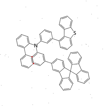 c1ccc(-c2ccccc2N(c2cccc(-c3ccc4c(c3)-c3ccccc3C43c4ccccc4-c4ccccc43)c2)c2cccc(-c3cccc4sc5ccccc5c34)c2)cc1